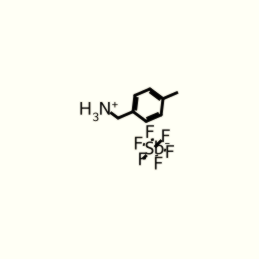 Cc1ccc(C[NH3+])cc1.[F][Sb-]([F])([F])([F])([F])[F]